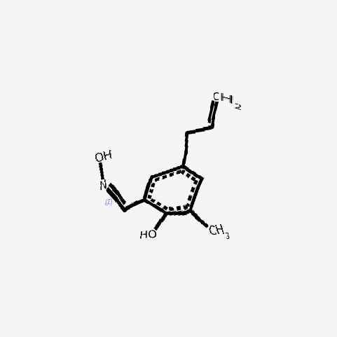 C=CCc1cc(C)c(O)c(/C=N\O)c1